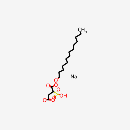 CCCCCCCCCCCCCCOOC(=O)C(CC(=O)[O-])S(=O)(=O)O.[Na+]